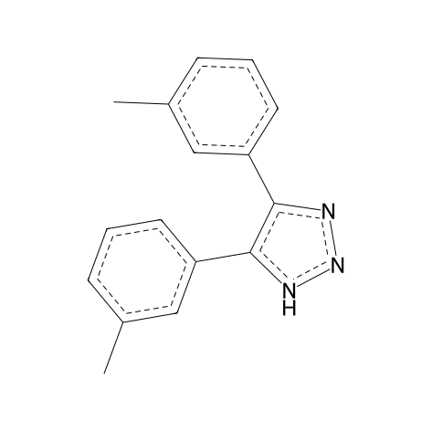 Cc1cccc(-c2nn[nH]c2-c2cccc(C)c2)c1